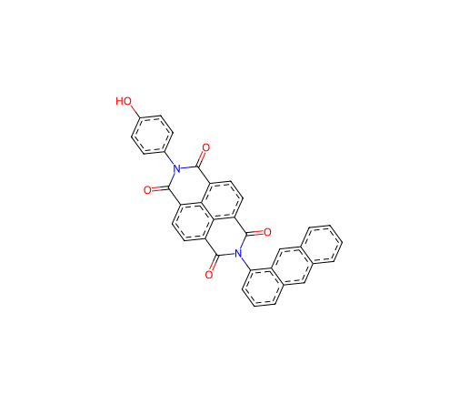 O=C1c2ccc3c4c(ccc(c24)C(=O)N1c1ccc(O)cc1)C(=O)N(c1cccc2cc4ccccc4cc12)C3=O